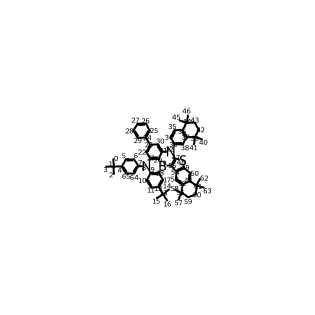 CC(C)(C)c1ccc(N2c3ccc(C(C)(C)C)cc3B3c4c2cc(-c2ccccc2)cc4N(c2ccc4c(c2)C(C)(C)CCC4(C)C)c2sc4cc5c(cc4c23)C(C)(C)CCC5(C)C)cc1